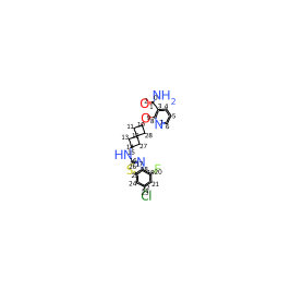 NC(=O)c1cccnc1OC1CC2(CC(Nc3nc4c(F)cc(Cl)cc4s3)C2)C1